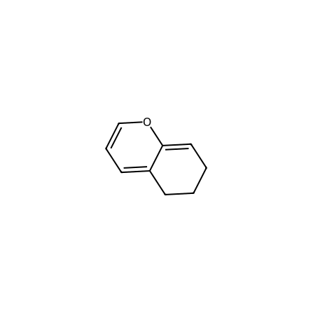 C1=COC2=CCCCC2=C1